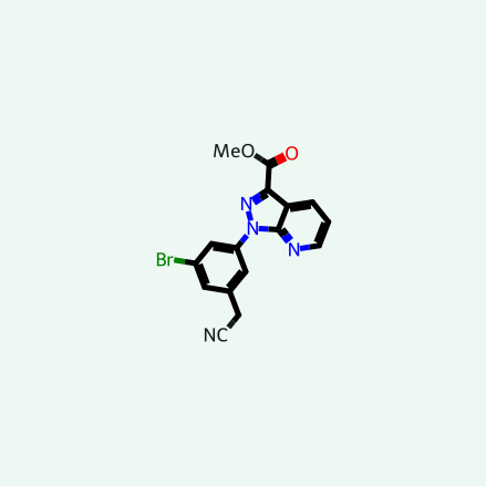 COC(=O)c1nn(-c2cc(Br)cc(CC#N)c2)c2ncccc12